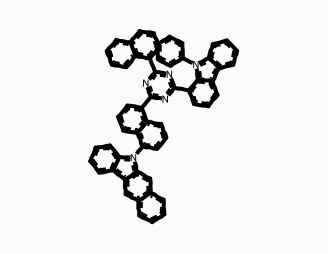 c1ccc(-n2c3ccccc3c3cccc(-c4nc(-c5cccc6ccccc56)nc(-c5cccc6c(-n7c8ccccc8c8cc9ccccc9cc87)cccc56)n4)c32)cc1